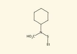 CCSN(C(=O)O)C1CCCCC1